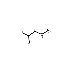 CC(C)C[O][Nd]